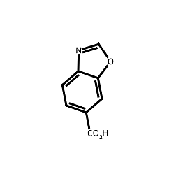 O=C(O)c1ccc2n[c]oc2c1